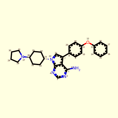 Nc1ncnc2c1c(-c1ccc(Oc3ccccc3)cc1)cn2[C@H]1CC[C@H](N2CCCC2)CC1